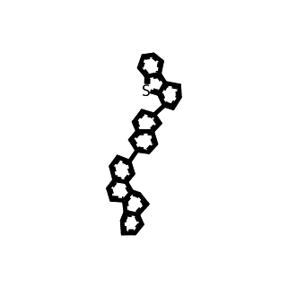 c1ccc2c(c1)ccc1c3cc(-c4ccc5cc(-c6cccc7c6sc6ccccc67)ccc5c4)ccc3ccc21